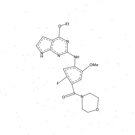 CCOc1nc(Nc2cc(F)c(C(=O)N3CCOCC3)cc2OC)nc2[nH]ccc12